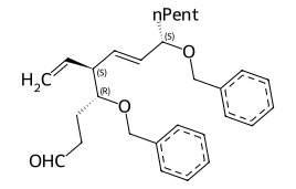 C=C[C@@H](C=C[C@H](CCCCC)OCc1ccccc1)[C@@H](CCC=O)OCc1ccccc1